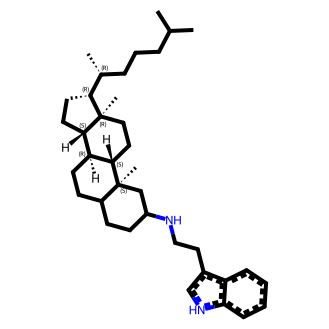 CC(C)CCC[C@@H](C)[C@H]1CC[C@H]2[C@@H]3CCC4CCC(NCCc5c[nH]c6ccccc56)C[C@]4(C)[C@H]3CC[C@]12C